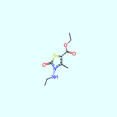 CCNn1c(C)c(C(=O)OCC)sc1=O